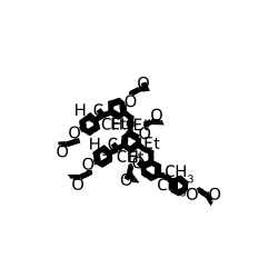 CCC(CC)(Cc1cc(C(C)(C)c2ccc(OCC3CO3)cc2)ccc1OCC1CO1)c1cc(C(C)(C)c2ccc(OCC3CO3)cc2)cc(C(CC)(CC)Cc2cc(C(C)(C)c3ccc(OCC4CO4)cc3)ccc2OCC2CO2)c1OCC1CO1